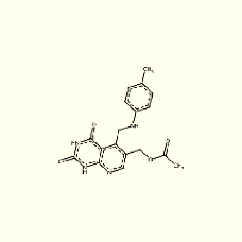 CC(=O)OCc1cnc2[nH]c(=O)[nH]c(=O)c2c1CNc1ccc(C)cc1